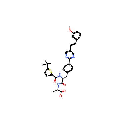 COc1cccc(/C=C/c2cnc(-c3ccc(C[C@H](NC(=O)c4ccc(C(C)(C)C)s4)C(=O)N[C@H](C)C(=O)O)cc3)nc2)c1